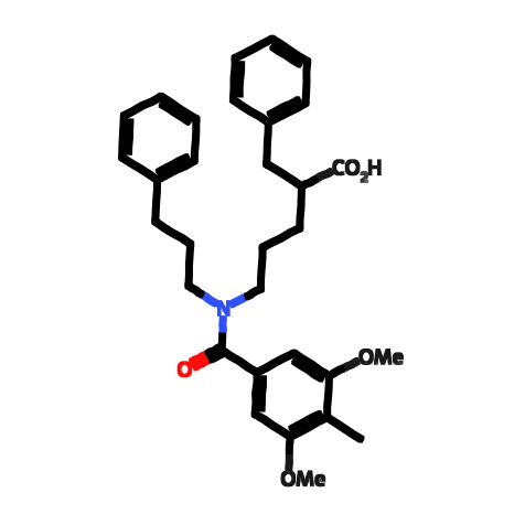 COc1cc(C(=O)N(CCCc2ccccc2)CCCC(Cc2ccccc2)C(=O)O)cc(OC)c1C